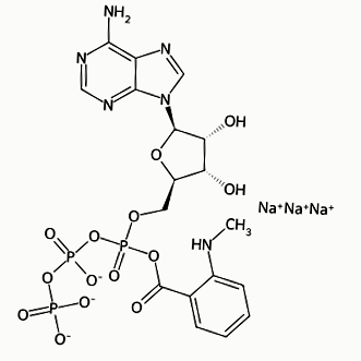 CNc1ccccc1C(=O)OP(=O)(OC[C@H]1O[C@@H](n2cnc3c(N)ncnc32)[C@H](O)[C@@H]1O)OP(=O)([O-])OP(=O)([O-])[O-].[Na+].[Na+].[Na+]